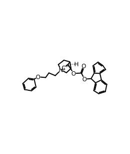 O=C(OC1c2ccccc2-c2ccccc21)O[C@H]1C[N+]2(CCCOc3ccccc3)CCC1CC2